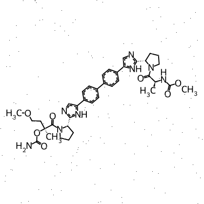 COCC[C@](C)(OC(N)=O)C(=O)N1CCC[C@H]1c1ncc(-c2ccc(-c3ccc(-c4cnc([C@@H]5CCCN5C(=O)[C@H](C)NC(=O)OC)[nH]4)cc3)cc2)[nH]1